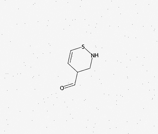 O=CC1C=CSNC1